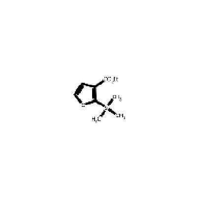 CCOC(=O)c1ccoc1[Si](C)(C)C